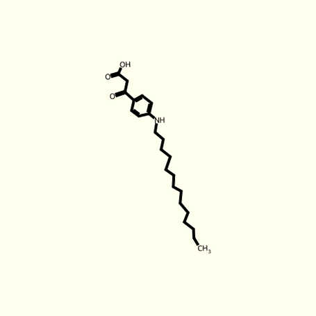 CCCCCCCCCCCCCCNc1ccc(C(=O)CC(=O)O)cc1